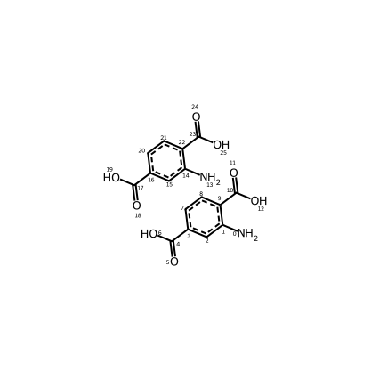 Nc1cc(C(=O)O)ccc1C(=O)O.Nc1cc(C(=O)O)ccc1C(=O)O